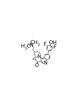 CN(C)CCC1CCN(c2c(C(=O)C3CC3)cnc3ccc(-c4cc(F)c(O)c(F)c4)cc23)CC1